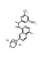 Cc1nnc(NC(C)c2cc(N)cc(C(F)(F)F)n2)c2cc(N3C[C@H]4C[C@@H]3CO4)ncc12